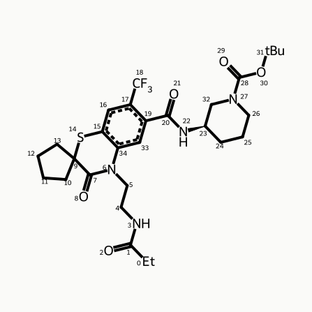 CCC(=O)NCCN1C(=O)C2(CCCC2)Sc2cc(C(F)(F)F)c(C(=O)N[C@@H]3CCCN(C(=O)OC(C)(C)C)C3)cc21